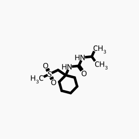 CC(C)NC(=O)NC1(CS(C)(=O)=O)CCCCC1